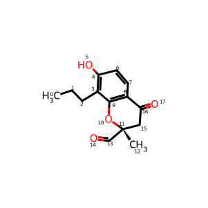 CCCc1c(O)ccc2c1O[C@@](C)(C=O)CC2=O